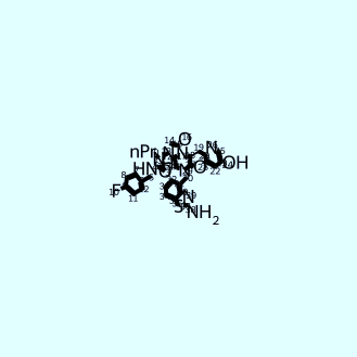 CCCN(C(=O)NCc1ccc(F)cc1)N1CC(=O)N2[C@@H](Cc3ccc(O)cn3)C(=O)N(Cc3cccc4sc(N)nc34)C[C@@H]21